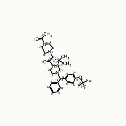 CC(=O)N1CCN(CC(=O)N2CCN(C(c3ccccc3)c3ccc(OC(F)(F)F)cc3)C[C@@H]2C(C)(C)C)CC1